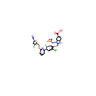 N#Cc1cc(F)c(COc2cccc(-c3cc(F)c(Cc4nc5ccc(C(=O)O)cc5n4C[C@@H]4CCO4)cc3F)n2)s1